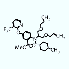 C=CCOCC(COCC=C)N(c1ccc(Oc2ncccc2C(F)(F)F)cc1C(=O)OC)C(=O)[C@H]1CC[C@H](C)CC1